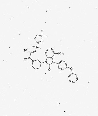 CC(C)(C=C(C#N)C(=O)N1CCCC(n2c(=O)n(-c3ccc(Oc4ccccc4)cc3)c3c(N)nccc32)C1)N1CCC(F)(F)C1